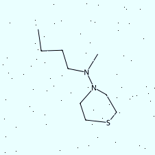 CCCCN(C)N1CCSCC1